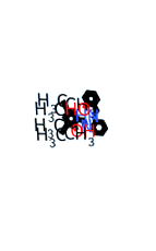 CC(C)(C)c1cc(C=NC2CCCCC2NCc2ccccc2O)c(O)c(C(C)(C)C)c1